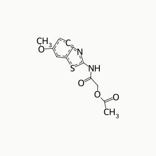 COc1ccc2nc(NC(=O)COC(C)=O)sc2c1